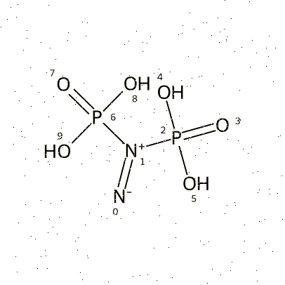 [N-]=[N+](P(=O)(O)O)P(=O)(O)O